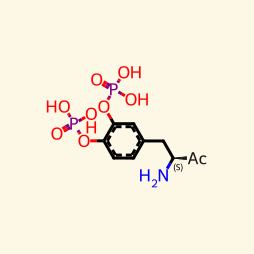 CC(=O)[C@@H](N)Cc1ccc(OP(=O)(O)O)c(OP(=O)(O)O)c1